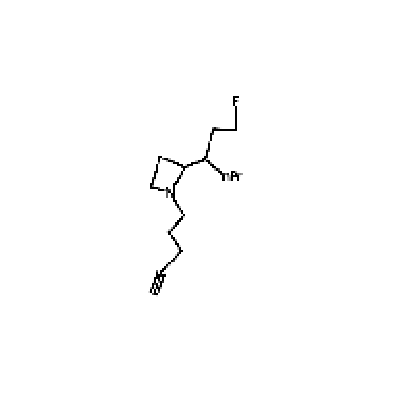 C#CCCCN1CCC1C(CCC)CCF